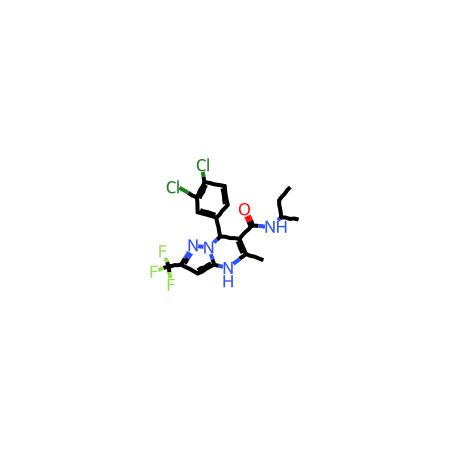 CCC(C)NC(=O)C1=C(C)Nc2cc(C(F)(F)F)nn2C1c1ccc(Cl)c(Cl)c1